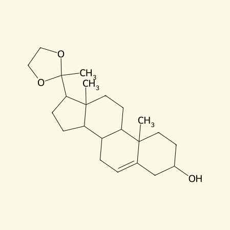 CC1(C2CCC3C4CC=C5CC(O)CCC5(C)C4CCC32C)OCCO1